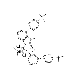 CCC1=C(C)c2c(-c3ccc(C(C)(C)C)cc3)cccc2[CH]1[Zr]([Cl])([Cl])([CH]1C(C)=Cc2c(-c3ccc(C(C)(C)C)cc3)cccc21)[SiH](C)C